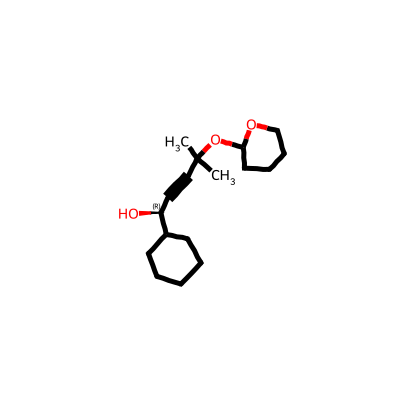 CC(C)(C#C[C@H](O)C1CCCCC1)OC1CCCCO1